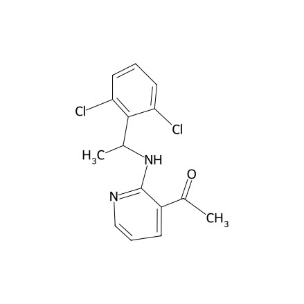 CC(=O)c1cccnc1NC(C)c1c(Cl)cccc1Cl